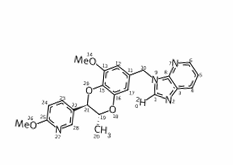 [2H]c1nc2cccnc2n1Cc1cc(OC)c2c(c1)O[C@H](C)[C@@H](c1ccc(OC)nc1)O2